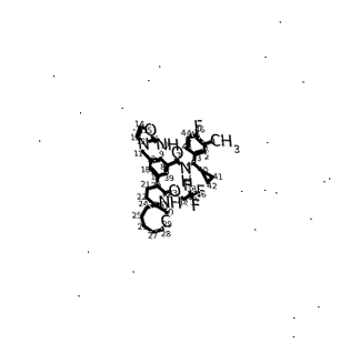 Cc1cc([C@@H](NC(=O)c2cc(Cn3ccoc3=N)cc(C3CCC4(CCCCCCC4)NC3OCC(F)(F)F)c2)C2CC2)ccc1F